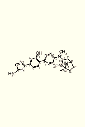 Cc1nc(-c2ccc(-c3ncc(N(C)[C@@H]4CC5CC[C@H](N5)[C@@H]4F)nn3)c(O)c2)no1